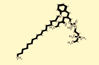 CCCCCCCCCCCCCCCCCCOc1ccccc1CC(COP(=O)(O)OCC[N+](C)(C)CC)CC(=O)CCC